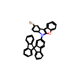 Brc1ccc2c(c1)c1c3ccccc3oc1n2-c1ccc2c(c1)C1(c3ccccc3-c3ccccc31)c1ccccc1-2